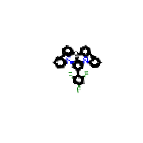 Fc1cc(F)c(-c2cc3c4c(c2)-n2c5ccccc5c5cccc(c52)B4c2cccc4c5ccccc5n-3c24)c(F)c1